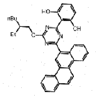 CCCCC(CC)COc1nc(-c2c(O)cccc2O)nc(-c2cc3c4ccccc4ccc3c3ccccc23)n1